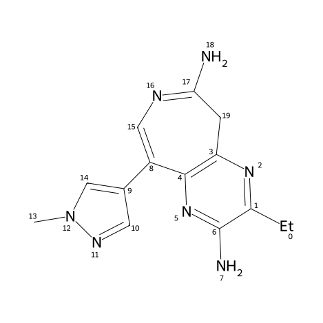 CCc1nc2c(nc1N)C(c1cnn(C)c1)=CN=C(N)C2